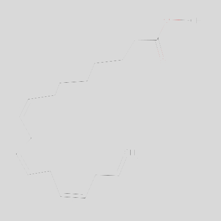 C=CC/C=C\C/C=C\C/C=C\CCCCCCC(=O)OC